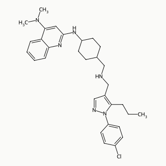 CCCc1c(CNCC2CCC(Nc3cc(N(C)C)c4ccccc4n3)CC2)cnn1-c1ccc(Cl)cc1